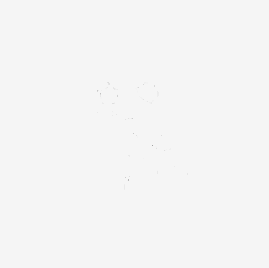 C[C@@H]1CNCCN1C[C@H]1CN(C(=O)OC(C)(C)C)[C@H](C)CN1CC(=O)N1CC(C)(C)c2c1cc(Cc1ccc(F)cc1)c(=O)n2C